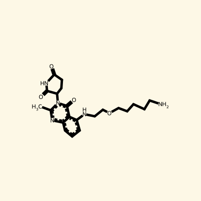 Cc1nc2cccc(NCCOCCCCCN)c2c(=O)n1C1CCC(=O)NC1=O